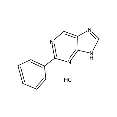 Cl.c1ccc(-c2ncc3nc[nH]c3n2)cc1